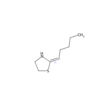 CCCC/[C]=C1\NCCS1